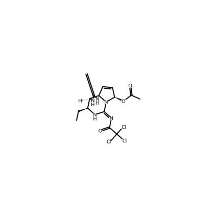 C=C1N[C@H]2[C@H](CC)N/C(=N\C(=O)C(Cl)(Cl)Cl)N3[C@H](OC(C)=O)C=C[C@]23N1